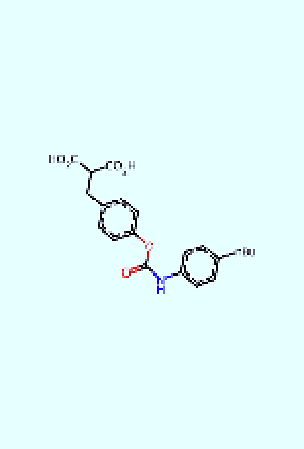 CCCCc1ccc(NC(=O)Oc2ccc(CC(C(=O)O)C(=O)O)cc2)cc1